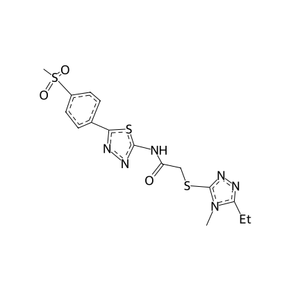 CCc1nnc(SCC(=O)Nc2nnc(-c3ccc(S(C)(=O)=O)cc3)s2)n1C